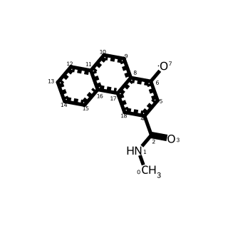 CNC(=O)c1cc([O])c2ccc3ccccc3c2c1